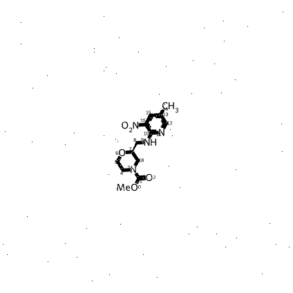 COC(=O)N1CCO[C@@H](CNc2ncc(C)cc2[N+](=O)[O-])C1